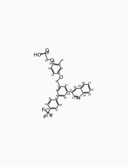 Cc1cc(OCc2cc(-c3ccc(C(F)(F)F)cc3)cc(-c3cnc4ccccc4c3)c2)ccc1OCC(=O)O